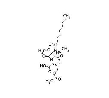 CCCCCCCC[S+]([O-])N(C(C)=O)[C@]1(OC)C(=O)N2C(C(=O)O)=C(COC(C)=O)CS[C@@H]21